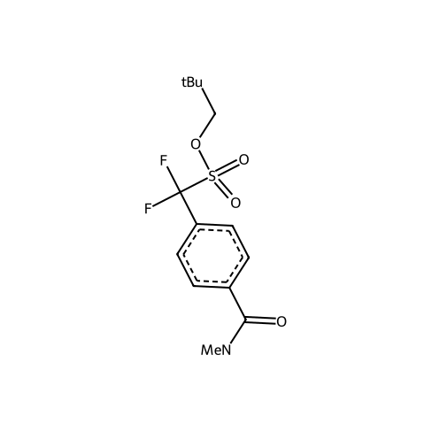 CNC(=O)c1ccc(C(F)(F)S(=O)(=O)OCC(C)(C)C)cc1